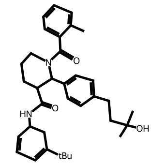 Cc1ccccc1C(=O)N1CCCC(C(=O)NC2C=CC=C(C(C)(C)C)C2)C1c1ccc(CCC(C)(C)O)cc1